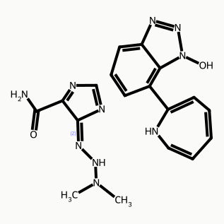 CN(C)N/N=C1\N=CN=C1C(N)=O.On1nnc2cccc(C3=CC=CC=CN3)c21